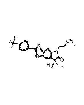 CCCN1C(=O)C(C)(C)c2cc3[nH]c(-c4ccc(C(F)(F)F)cc4)nc3cc21